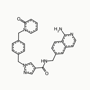 Nc1nccc2cc(CNC(=O)c3cnn(Cc4ccc(Cn5ccccc5=O)cc4)c3)ccc12